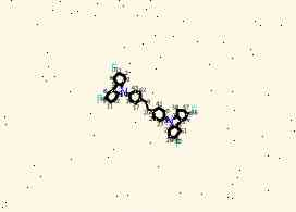 Fc1ccc2c(c1)c1cc(F)ccc1n2-c1ccc(CCc2ccc(-n3c4ccc(F)cc4c4cc(F)ccc43)cc2)cc1